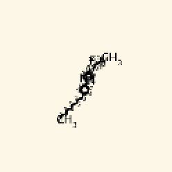 CCCCCCCCCc1ccc(-c2ncc(OCC(F)C(F)CC)cn2)cc1